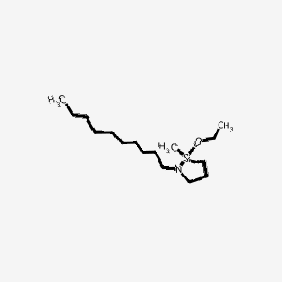 CCCCCCCCCCN1CCC[Si]1(C)OCC